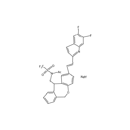 CC(=O)N(SC1c2ccccc2COc2ccc(/C=C/c3ccc4cc(F)c(F)cc4n3)cc21)S(=O)(=O)C(F)(F)F.[NaH]